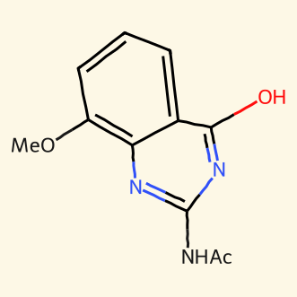 COc1cccc2c(O)nc(NC(C)=O)nc12